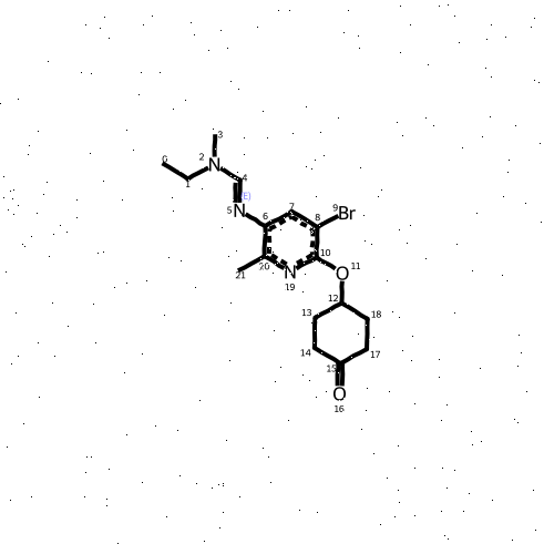 CCN(C)/C=N/c1cc(Br)c(OC2CCC(=O)CC2)nc1C